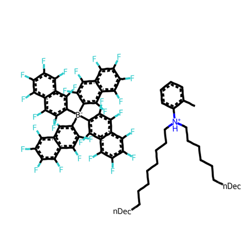 CCCCCCCCCCCCCCCCCC[NH+](CCCCCCCCCCCCCCCC)c1ccccc1C.Fc1c(F)c(F)c2c(F)c([B-](c3c(F)c(F)c4c(F)c(F)c(F)c(F)c4c3F)(c3c(F)c(F)c4c(F)c(F)c(F)c(F)c4c3F)c3c(F)c(F)c4c(F)c(F)c(F)c(F)c4c3F)c(F)c(F)c2c1F